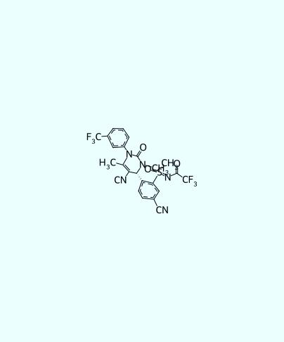 [C-]#[N+]C1=C(C)N(c2cccc(C(F)(F)F)c2)C(=O)N(C)[C@@H]1c1ccc(C#N)cc1[S@@](C)(=O)=NC(=O)C(F)(F)F